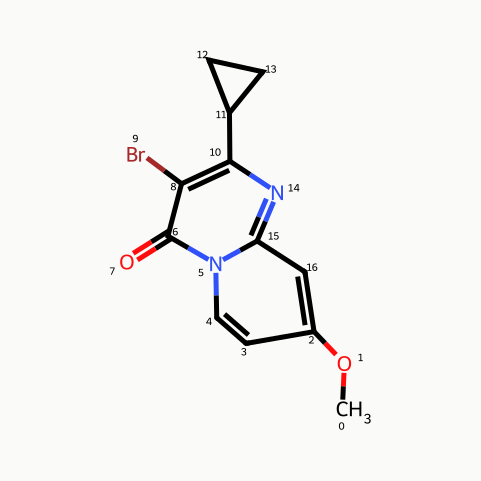 COc1ccn2c(=O)c(Br)c(C3CC3)nc2c1